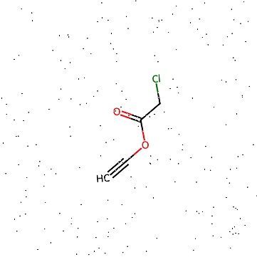 C#COC(=O)CCl